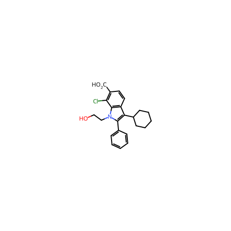 O=C(O)c1ccc2c(C3CCCCC3)c(-c3ccccc3)n(CCO)c2c1Cl